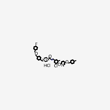 Cc1ccc(COc2ccc(Oc3c(C)cc(/C=C/C(=O)N4CCN(Cc5ccc(COCc6ccc(F)cc6)cc5)CC4)cc3Cl)nc2)cc1.Cl